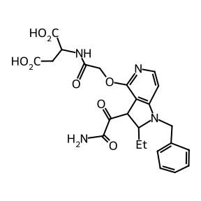 CCC1C(C(=O)C(N)=O)c2c(ccnc2OCC(=O)NC(CC(=O)O)C(=O)O)N1Cc1ccccc1